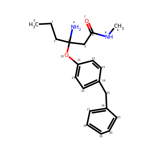 CCCC(N)(CC(=O)NC)Oc1ccc(Cc2ccccc2)cc1